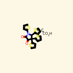 CC(=O)O.O=C1C(=O)C(c2cccs2)(c2cccs2)C(c2cccs2)N1c1cccs1